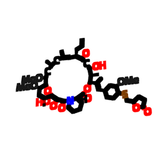 C=CC[C@@H]1/C=C(\C)C[C@H](C)C[C@H](OC)C2O[C@@](O)(C(=O)C(=O)N3CCCC[C@H]3C(=O)O[C@H](/C(C)=C/[C@@H]3CCC(SCC4CCC(=O)O4)[C@H](OC)C3)[C@H](C)[C@@H](O)CC1=O)[C@H](C)C[C@@H]2OC